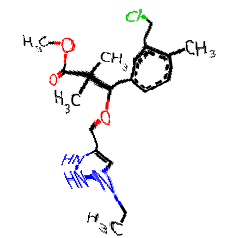 CCN1C=C(COC(c2ccc(C)c(CCl)c2)C(C)(C)C(=O)OC)NN1